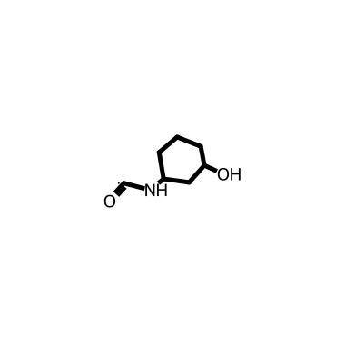 O=[C]NC1CCCC(O)C1